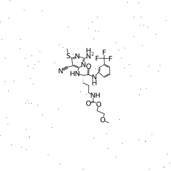 COCCOC(=O)NCCC[C@H](Nc1nc(N)nc(SC)c1C#N)C(=O)Nc1cccc(C(F)(F)F)c1